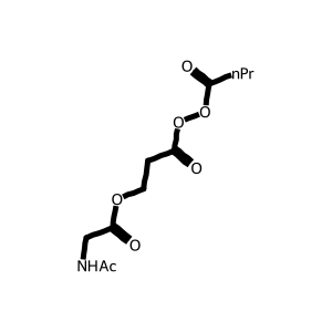 CCCC(=O)OOC(=O)CCOC(=O)CNC(C)=O